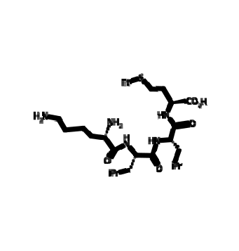 CCSCC[C@H](NC(=O)[C@H](CC(C)C)NC(=O)[C@H](CC(C)C)NC(=O)[C@@H](N)CCCCN)C(=O)O